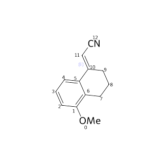 COc1cccc2c1CCC/C2=C\C#N